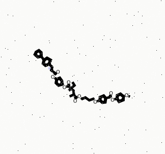 CCC(C)(CC(C)C(=O)OCCCCOc1ccc(C(=O)Oc2ccc(OC)cc2)cc1)C(=O)Oc1ccc(OC(=O)/C=C/c2ccc(-c3ccccc3)cc2)cc1